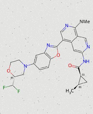 CNc1ncc(-c2nc3cc(N4CCO[C@@H](C(F)F)C4)ccc3o2)c2cc(NC(=O)[C@H]3C[C@H]3C)ncc12